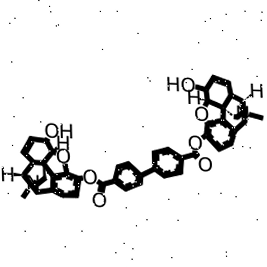 CN1CC[C@]23c4c5ccc(OC(=O)c6ccc(-c7ccc(C(=O)Oc8ccc9c%10c8O[C@H]8C(O)C=CC%11[C@@H](C9)N(C)CC[C@@]%10%118)cc7)cc6)c4O[C@H]2C(O)C=CC3[C@H]1C5